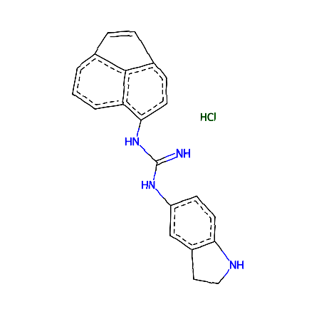 Cl.N=C(Nc1ccc2c(c1)CCN2)Nc1ccc2c3c(cccc13)C=C2